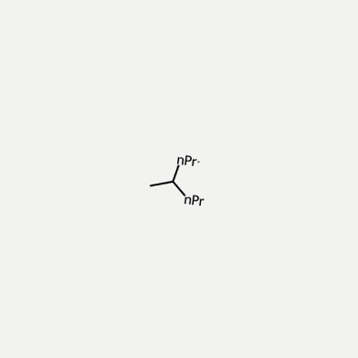 [CH2]CCC(C)[CH]CC